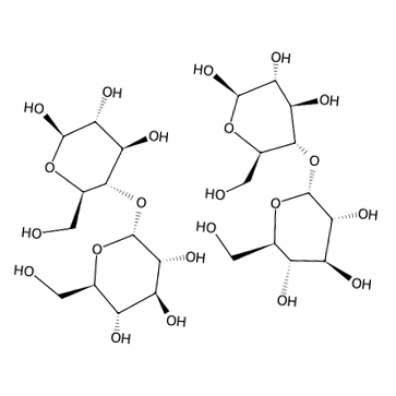 OC[C@H]1O[C@H](O[C@H]2[C@H](O)[C@@H](O)[C@H](O)O[C@@H]2CO)[C@H](O)[C@@H](O)[C@@H]1O.OC[C@H]1O[C@H](O[C@H]2[C@H](O)[C@@H](O)[C@H](O)O[C@@H]2CO)[C@H](O)[C@@H](O)[C@@H]1O